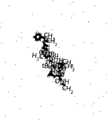 C=CCNC(=O)C(=O)C(CC1CC1)NC(=O)[C@@H]1[C@@H]2[C@H](CN1C(=O)[C@@H](NC(=O)N[C@H](CC(C)S(=O)(=O)c1cc(CN(C)C(C)c3ccccc3)cs1)C(C)(C)C)C(C)(C)C)C2(C)C